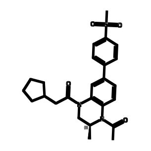 CC(=O)N1c2ccc(-c3ccc(S(C)(=O)=O)cc3)cc2N(C(=O)CC2CCCC2)C[C@@H]1C